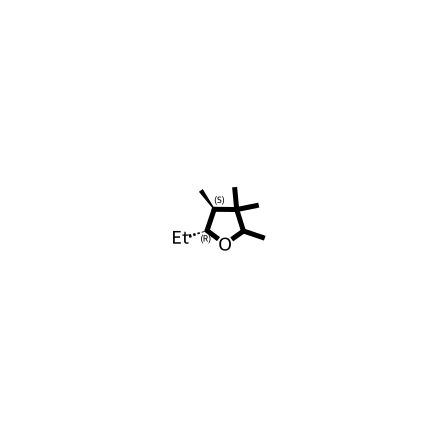 CC[C@H]1OC(C)C(C)(C)[C@@H]1C